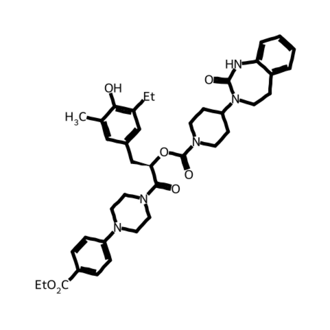 CCOC(=O)c1ccc(N2CCN(C(=O)[C@@H](Cc3cc(C)c(O)c(CC)c3)OC(=O)N3CCC(N4CCc5ccccc5NC4=O)CC3)CC2)cc1